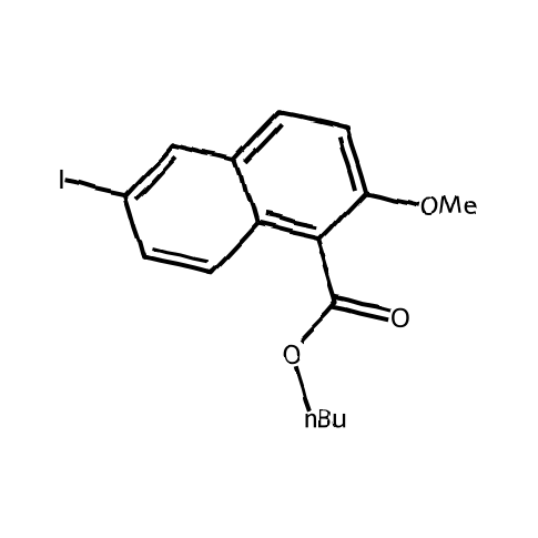 CCCCOC(=O)c1c(OC)ccc2cc(I)ccc12